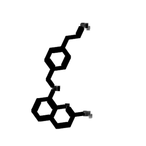 C=CCc1ccc(CNc2cccc3ccc(C)nc23)cc1